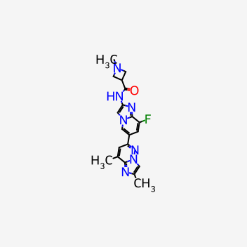 Cc1cn2nc(-c3cc(F)c4nc(NC(=O)C5CN(C)C5)cn4c3)cc(C)c2n1